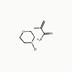 C=C(C)C(N)=O.CCN1CCOCC1